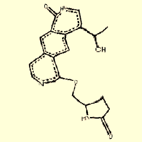 CC(O)c1c[nH]c(=O)c2cc3ccnc(OCC4CCC(=O)N4)c3cc12